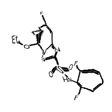 CCOc1nc(F)cc2nc(S(=O)(=O)Nc3c(F)cccc3F)nn12